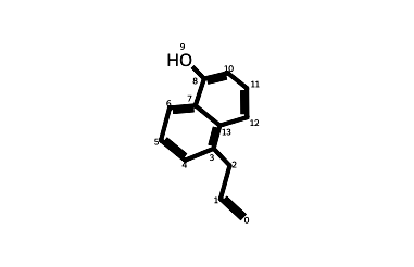 C=CCc1cccc2c(O)cccc12